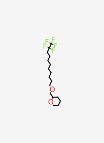 FC(F)(F)C(F)(F)CCCCCCCCCOCC1CCCCO1